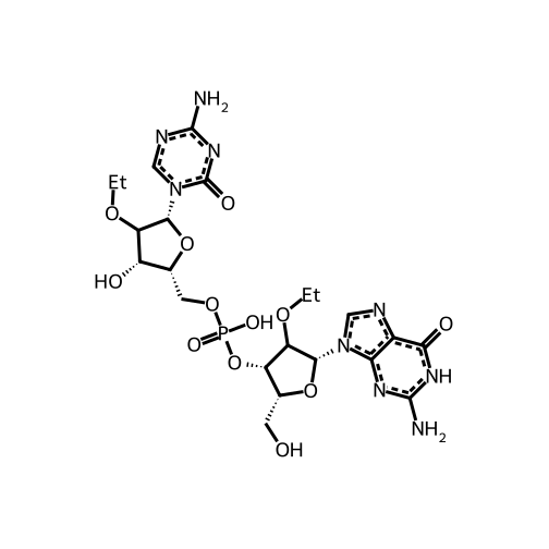 CCOC1[C@@H](O)[C@@H](COP(=O)(O)O[C@@H]2C(OCC)[C@H](n3cnc4c(=O)[nH]c(N)nc43)O[C@@H]2CO)O[C@H]1n1cnc(N)nc1=O